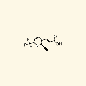 C#Cc1nc(C(F)(F)F)ccc1/C=C/C(=O)O